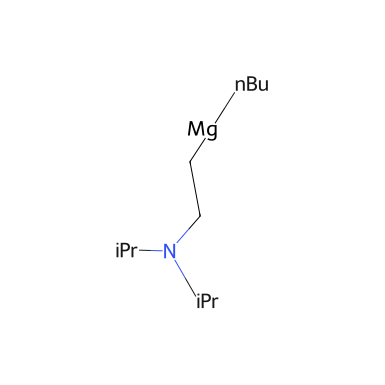 CCC[CH2][Mg][CH2]CN(C(C)C)C(C)C